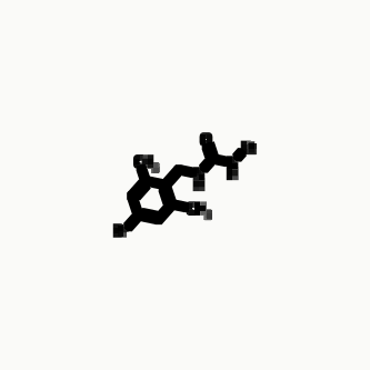 CCNC(=O)NCc1c(C)cc(Br)cc1C